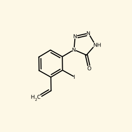 C=Cc1cccc(-n2nn[nH]c2=O)c1I